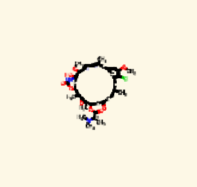 COc1cc2cc(c1Cl)CC(C)CCC(=O)CC(OC(=O)[C@H](C)N(C)C)C1(C)OC1C(C)C1CC(O)(NC(=O)O1)C(OC)/C=C/C=C(\C)C2